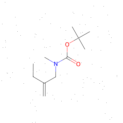 C=C(CC)CN(C)C(=O)OC(C)(C)C